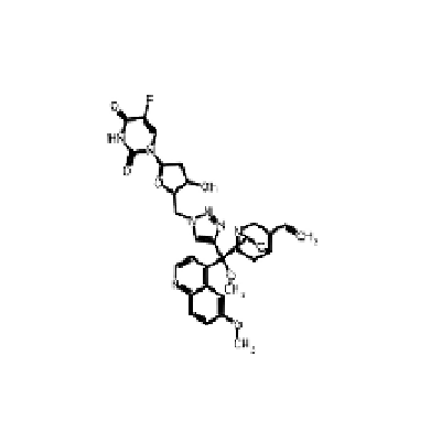 C=CC1CN2CCC1CC2C(OC)(c1cn(CC2OC(n3cc(F)c(=O)[nH]c3=O)CC2O)nn1)c1ccnc2ccc(OC)cc12